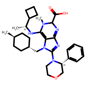 C[C@@H](NC1=c2c(nc(N3CCOC[C@H]3c3ccccc3)n2C[C@H]2CC[C@H](C)CC2)=NC(C(=O)O)N1C)C1CCC1